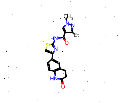 CCc1nn(C)cc1C(=O)Nc1nc(-c2ccc3c(c2)CCC(=O)N3)cs1